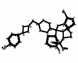 CCc1nccn1CC(c1cccc(F)c1)(C1CCN(CC2CN(c3ccc(C(F)(F)F)cc3)C2)CC1)C1CCCN1C(=O)OC